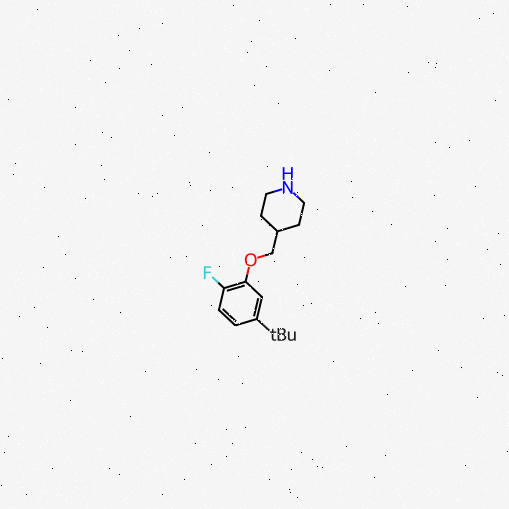 CC(C)(C)c1ccc(F)c(OCC2CCNCC2)c1